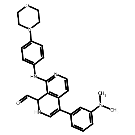 CN(C)c1cccc(C2=CNC(C=O)c3c2ccnc3Nc2ccc(N3CCOCC3)cc2)c1